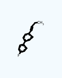 CCC#Cc1ccc(-c2ccc(F)cc2)cc1